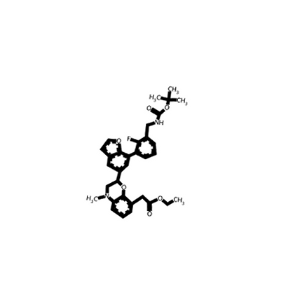 CCOC(=O)Cc1cccc2c1OC(c1cc(-c3cccc(CNC(=O)OC(C)(C)C)c3F)c3occc3c1)CN2C